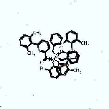 Cc1cccc(C)c1-c1cccc(C(=O)[N](c2c(C(C)C)cccc2C(C)C)[Zr]([CH2]c2ccccc2)([CH2]c2ccccc2)=[N]C2N(c3c(C)cccc3C)CCN2c2c(C)cccc2C)n1